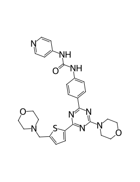 O=C(Nc1ccncc1)Nc1ccc(-c2nc(-c3ccc(CN4CCOCC4)s3)nc(N3CCOCC3)n2)cc1